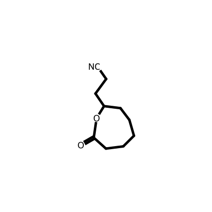 N#CCCC1CCCCCC(=O)O1